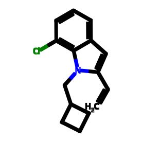 C=Cc1cc2cccc(Cl)c2n1CC1CCC1